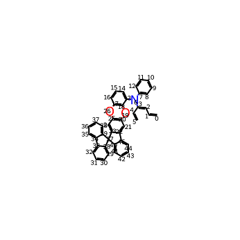 C=C/C=C(\C=C)N(c1ccccc1)c1cccc2c1Oc1cc3c(cc1O2)C1(c2ccccc2-c2ccccc21)c1ccccc1-3